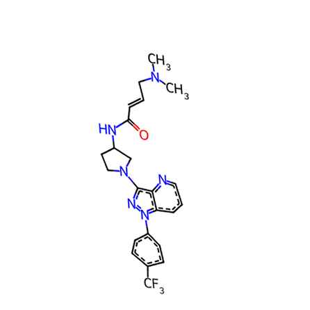 CN(C)C/C=C/C(=O)NC1CCN(c2nn(-c3ccc(C(F)(F)F)cc3)c3cccnc23)C1